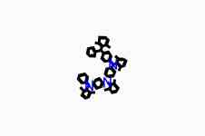 Cc1cccc(C)c1C(c1ccccc1)c1ccc(N(c2ccc(N(c3ccc(N(c4ccccc4)c4c(C)cccc4C)cc3)c3c(C)cccc3C)cc2)c2c(C)cccc2C)cc1